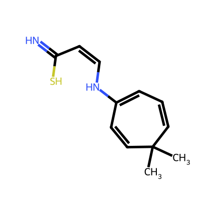 CC1(C)C=CC=C(N/C=C\C(=N)S)C=C1